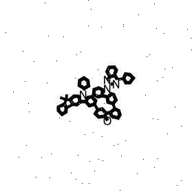 CC1(C)c2ccccc2-c2cc3c4cc(-c5ccc6oc7cccc(-c8ccc9c(c8)c8ccccc8n9-c8nc(-c9ccccc9)c9ccccc9n8)c7c6c5)ccc4n(-c4ccccc4)c3cc21